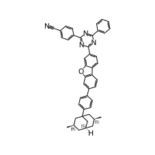 C[C@@H]1C[C@@H]2C[C@H](C)CC(c3ccc(-c4ccc5c(c4)oc4cc(-c6nc(-c7ccccc7)nc(-c7ccc(C#N)cc7)n6)ccc45)cc3)(C1)C2